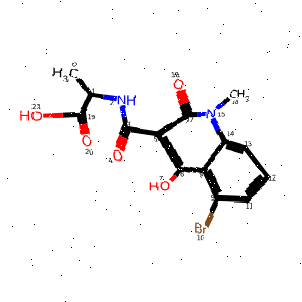 CC(NC(=O)c1c(O)c2c(Br)cccc2n(C)c1=O)C(=O)O